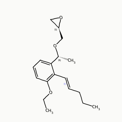 CCC/C=C/c1c(OCC)cccc1[C@@H](C)OC[C@H]1CO1